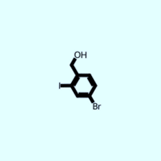 OCc1ccc(Br)cc1I